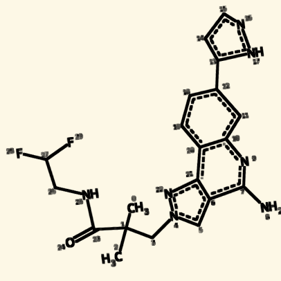 CC(C)(Cn1cc2c(N)nc3cc(-c4ccn[nH]4)ccc3c2n1)C(=O)NCC(F)F